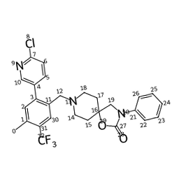 Cc1cc(-c2ccc(Cl)nc2)c(CN2CCC3(CC2)CN(c2ccccc2)C(=O)O3)cc1C(F)(F)F